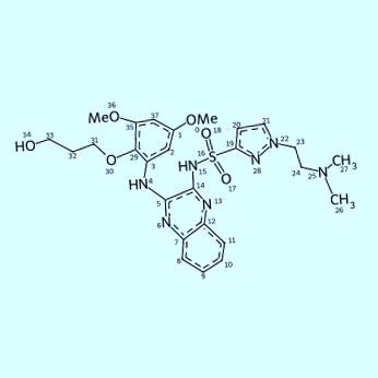 COc1cc(Nc2nc3ccccc3nc2NS(=O)(=O)c2ccn(CCN(C)C)n2)c(OCCCO)c(OC)c1